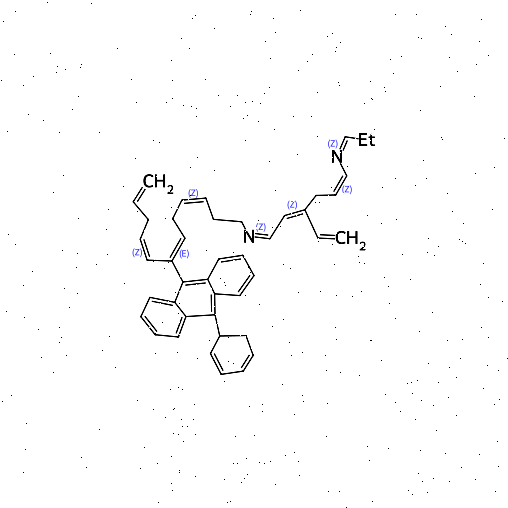 C=CC/C=C\C(=C/C/C=C\CC/N=C\C=C(/C=C)C/C=C\N=C/CC)c1c2ccccc2c(C2C=CC=CC2)c2ccccc12